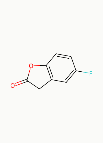 O=C1Cc2cc(F)ccc2O1